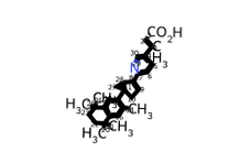 CC(=CC(=O)O)c1ccc(C2=CCC3(c4cc5c(cc4C)C(C)(C)CCC5(C)C)CC23)nc1